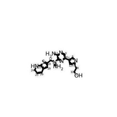 Nc1ncc(-c2cnn(CCO)c2)nc1N(N)Cc1cc2c(s1)NCC=C2